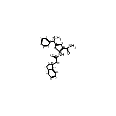 CC(c1ccccc1)c1cc(C(N)=O)c(NC(=O)CC2CCc3ccccc32)s1